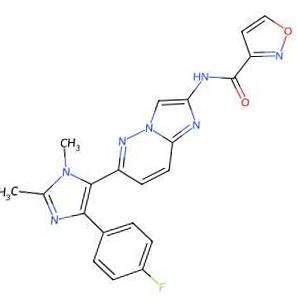 Cc1nc(-c2ccc(F)cc2)c(-c2ccc3nc(NC(=O)c4ccon4)cn3n2)n1C